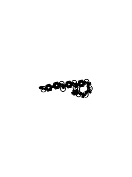 CCOc1ccc(-c2ccc(OC(=O)c3ccc(OC(=O)c4ccc(OC(C)COC(C)COC(C)COC(=O)C(C)(C)C)cc4)cc3)cc2)cc1